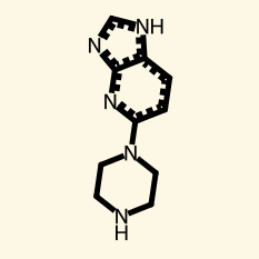 c1nc2nc(N3CCNCC3)ccc2[nH]1